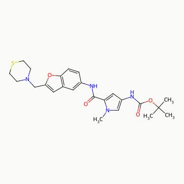 Cn1cc(NC(=O)OC(C)(C)C)cc1C(=O)Nc1ccc2oc(CN3CCSCC3)cc2c1